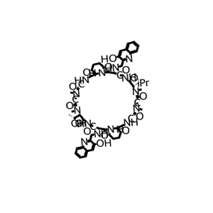 CC(C)[C@H]1C(=O)NC[C@@H](NC(=O)c2nc3ccccc3cc2O)C(=O)N2CCCC[C@H]2C(=O)NCC(=O)N(C)CC(=O)N(C)[C@@H]([C@@H](C)O)C(=O)NC[C@@H](NC(=O)c2nc3ccccc3cc2O)C(=O)N2CCCC[C@H]2C(=O)NCC(=O)N(C)CC(=O)N1C